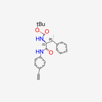 C#Cc1ccc(NC(=O)[C@@H](NC(=O)OC(C)(C)C)[C@H](C)c2ccccc2)cc1